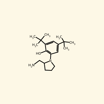 CC(C)(C)c1cc(N2CCCC2CN)c(O)c(C(C)(C)C)c1